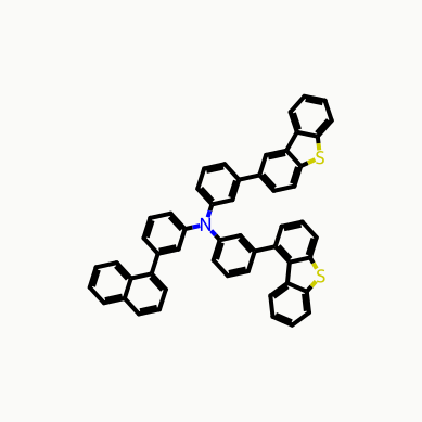 c1cc(-c2ccc3sc4ccccc4c3c2)cc(N(c2cccc(-c3cccc4ccccc34)c2)c2cccc(-c3cccc4sc5ccccc5c34)c2)c1